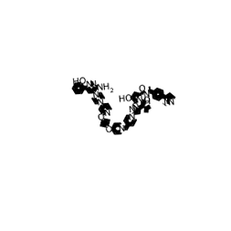 CC(C)[C@H](C(=O)N1C[C@H](O)C[C@H]1C(=O)N[C@@H](C)c1ccc(-c2ccnn2C)cc1)c1cc(N2CCC(CN3CCC(OC4CC(Oc5cc(N6CCN(c7cc(-c8ccccc8O)nnc7N)CC6)ccn5)C4)CC3)CC2)no1